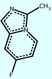 Cc1ncc2cc(F)ccn12